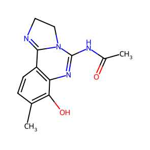 CC(=O)NC1=Nc2c(ccc(C)c2O)C2=NCCN12